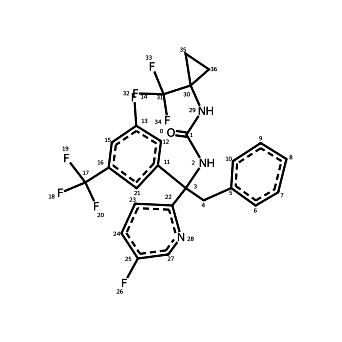 O=C(NC(Cc1ccccc1)(c1cc(F)cc(C(F)(F)F)c1)c1ccc(F)cn1)NC1(C(F)(F)F)CC1